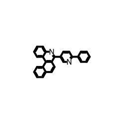 c1ccc(-c2ccc(-c3nc4ccccc4c4c3ccc3ccccc34)cn2)cc1